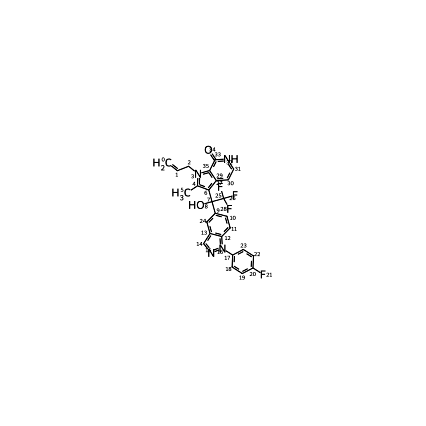 C=CCn1c(C)c(C(O)(c2ccc3c(cnn3-c3ccc(F)cc3)c2)C(F)(F)F)c2cc[nH]c(=O)c21